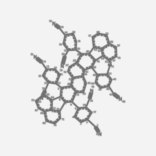 N#Cc1ccc(-c2c3c(c(-c4ccc(C#N)cc4C#N)c4c2ccc2c4ccc4c(-c5ccc(C#N)cc5C#N)c5c(c(-c6ccc(C#N)cc6C#N)c42)-c2cccc4cccc-5c24)-c2cccc4cccc-3c24)c(C#N)c1